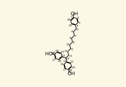 Oc1ccc(CCCCCCCCCC(c2ccc(O)cc2)c2ccc(O)cc2)cc1